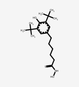 CC(C)(C)c1cc(CCCCCC(=S)NO)cc(C(C)(C)C)c1O